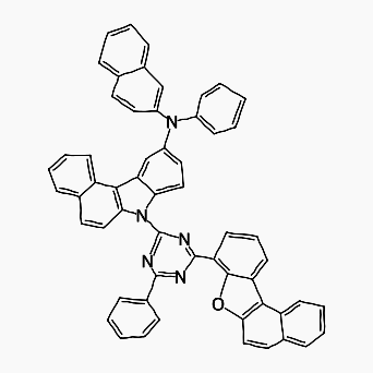 c1ccc(-c2nc(-c3cccc4c3oc3ccc5ccccc5c34)nc(-n3c4ccc(N(c5ccccc5)c5ccc6ccccc6c5)cc4c4c5ccccc5ccc43)n2)cc1